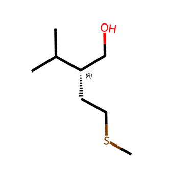 CSCC[C@@H](CO)C(C)C